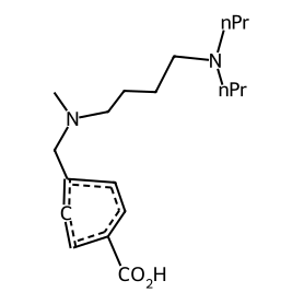 CCCN(CCC)CCCCN(C)Cc1ccc(C(=O)O)cc1